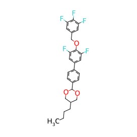 CCCCC1COC(c2ccc(-c3cc(F)c(OCc4cc(F)c(F)c(F)c4)c(F)c3)cc2)OC1